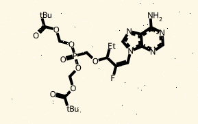 CCC(OCP(=O)(OCOC(=O)C(C)(C)C)OCOC(=O)C(C)(C)C)/C(F)=C\n1cnc2c(N)ncnc21